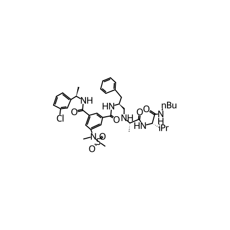 CCCCNC(=O)[C@@H](NC(=O)[C@H](C)NC[C@H](Cc1ccccc1)NC(=O)c1cc(C(=O)N[C@H](C)c2cccc(Cl)c2)cc(N(C)S(C)(=O)=O)c1)C(C)C